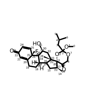 COC1(CC(C)C)OCC(=O)[C@@]2(O1)[C@@H](C)C[C@H]1[C@@H]3CCC4=CC(=O)C=C[C@]4(C)[C@@]3(F)[C@@H](O)C[C@@]12C